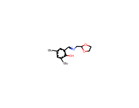 CC(C)(C)c1cc(/C=N/CC2OCCO2)c(O)c(C(C)(C)C)c1